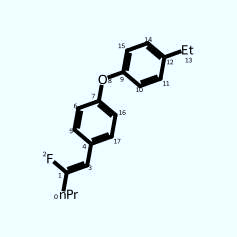 CCCC(F)=Cc1ccc(Oc2ccc(CC)cc2)cc1